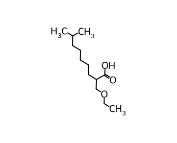 CCOCC(CCCCCC(C)C)C(=O)O